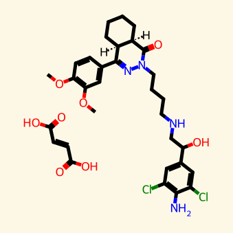 COc1ccc(C2=NN(CCCCNCC(O)c3cc(Cl)c(N)c(Cl)c3)C(=O)[C@@H]3CCCC[C@H]23)cc1OC.O=C(O)C=CC(=O)O